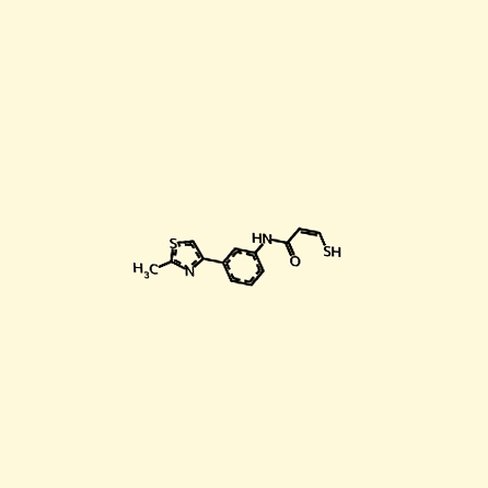 Cc1nc(-c2cccc(NC(=O)/C=C\S)c2)cs1